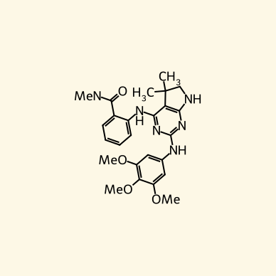 CNC(=O)c1ccccc1Nc1nc(Nc2cc(OC)c(OC)c(OC)c2)nc2c1C(C)(C)CN2